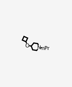 CCCN1CCC(OC2CCC2)CC1